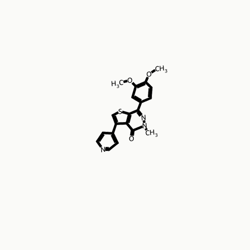 COc1ccc(-c2nn(C)c(=O)c3c(-c4ccncc4)csc23)cc1OC